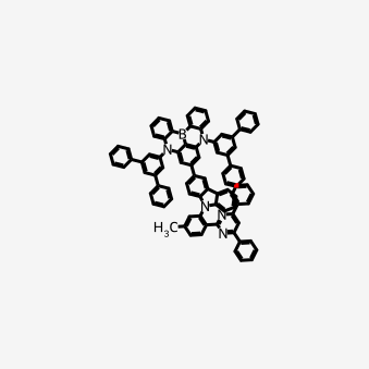 Cc1ccc(-c2nc(-c3ccccc3)cc(-c3ccccc3)n2)c(-n2c3ccccc3c3cc(-c4cc5c6c(c4)N(c4cc(-c7ccccc7)cc(-c7ccccc7)c4)c4ccccc4B6c4ccccc4N5c4cc(-c5ccccc5)cc(-c5ccccc5)c4)ccc32)c1